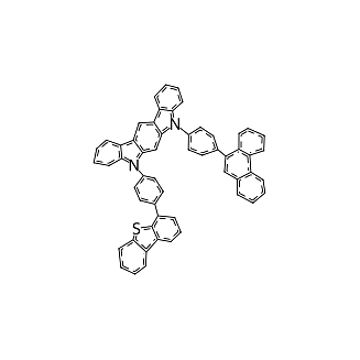 c1ccc2c(c1)cc(-c1ccc(-n3c4ccccc4c4cc5c6ccccc6n(-c6ccc(-c7cccc8c7sc7ccccc78)cc6)c5cc43)cc1)c1ccccc12